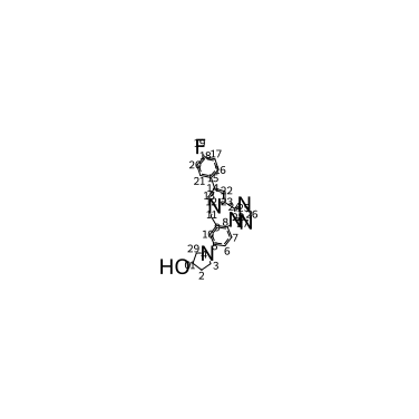 O[C@H]1CCN(c2ccc3c(c2)Cn2cc(-c4ccc(F)cc4)cc2-c2ncnn2-3)C1